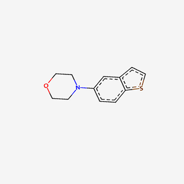 c1cc2cc(N3CCOCC3)ccc2s1